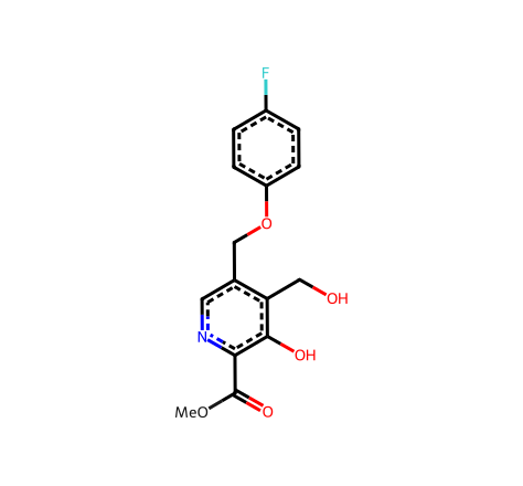 COC(=O)c1ncc(COc2ccc(F)cc2)c(CO)c1O